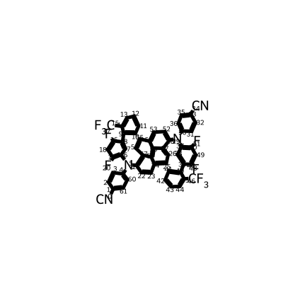 [C-]#[N+]c1ccc(N(c2cc(-c3ccccc3C(F)(F)F)c(F)cc2F)c2ccc3ccc4c(N(c5ccc(C#N)cc5)c5cc(-c6ccccc6C(F)(F)F)c(F)cc5F)ccc5ccc2c3c54)cc1